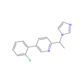 CC(c1ccc(-c2ccccc2F)cn1)n1ccnc1